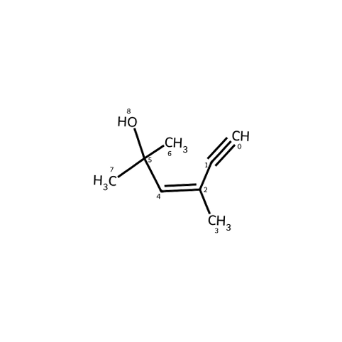 C#CC(C)=CC(C)(C)O